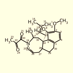 COc1ccc2c(c1OC)[C@]1(CCN(C)C)CC(O)N(C(=O)C(C)=O)/N=C\CC1CC2